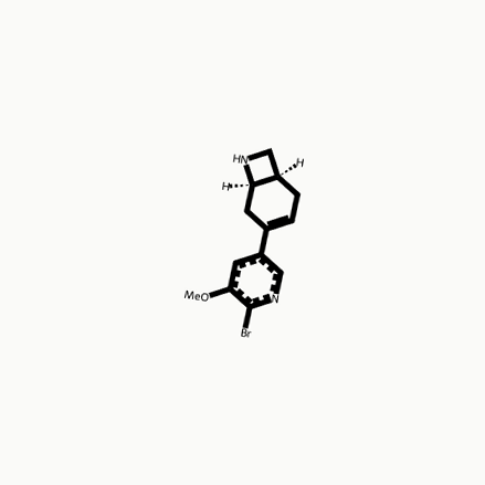 COc1cc(C2=CC[C@@H]3CN[C@@H]3C2)cnc1Br